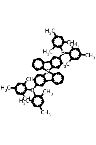 Cc1cc(C)c(B(c2ccc3c(c2)-c2ccccc2[Si]32c3ccccc3-c3cc(B(c4c(C)cc(C)cc4C)c4c(C)cc(C)cc4C)ccc32)c2c(C)cc(C)cc2C)c(C)c1